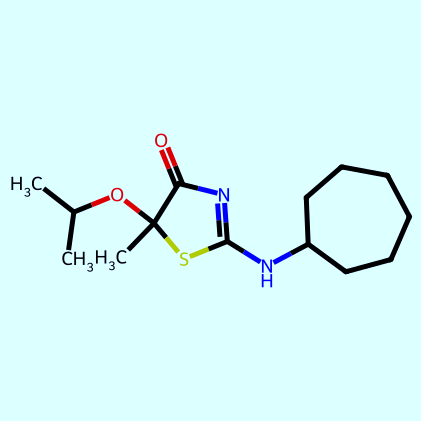 CC(C)OC1(C)SC(NC2CCCCCC2)=NC1=O